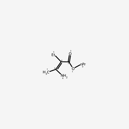 CCCOC(=O)C(CC)=C(C)N